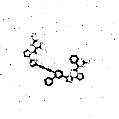 COC(=O)N[C@H](C(=O)N1CCC[C@H]1c1ncc(-c2ccc(C#CC#Cc3cnc([C@@H]4CCCN4C(=O)[C@@H](NC(=O)OC)C(C)C)[nH]3)c(-c3ccccc3)c2)[nH]1)c1ccccc1